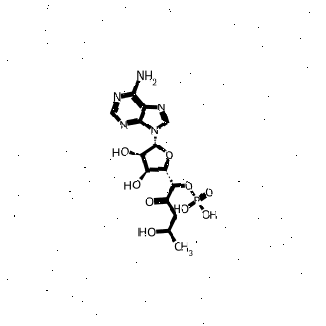 CC(O)CC(=O)C(OP(=O)(O)O)[C@H]1O[C@@H](n2cnc3c(N)ncnc32)[C@H](O)[C@@H]1O